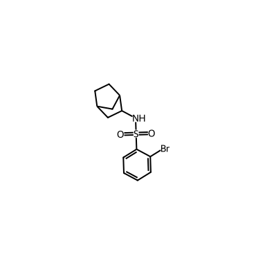 O=S(=O)(NC1CC2CCC1C2)c1ccccc1Br